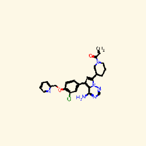 C=CC(=O)N1CCCC(c2cc(-c3ccc(OCc4ccccn4)c(Cl)c3)c3c(N)ncnn23)C1